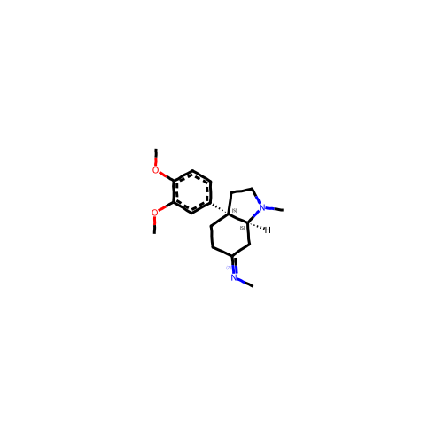 C/N=C1/CC[C@@]2(c3ccc(OC)c(OC)c3)CCN(C)[C@H]2C1